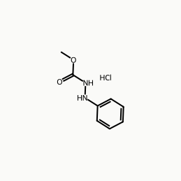 COC(=O)NNc1ccccc1.Cl